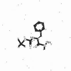 CN(N)C(=O)[C@H](Cc1ccccc1)NC(=O)OC(C)(C)C